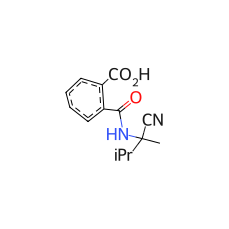 CC(C)C(C)(C#N)NC(=O)c1ccccc1C(=O)O